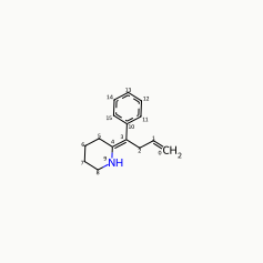 C=CCC(=C1CCCCN1)c1ccccc1